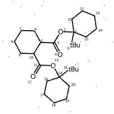 CC(C)(C)C1(OC(=O)C2CCCCC2C(=O)OC2(C(C)(C)C)CCCCC2)CCCCC1